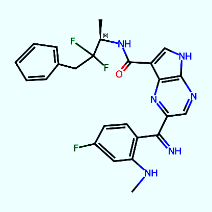 CNc1cc(F)ccc1C(=N)c1cnc2[nH]cc(C(=O)N[C@H](C)C(F)(F)Cc3ccccc3)c2n1